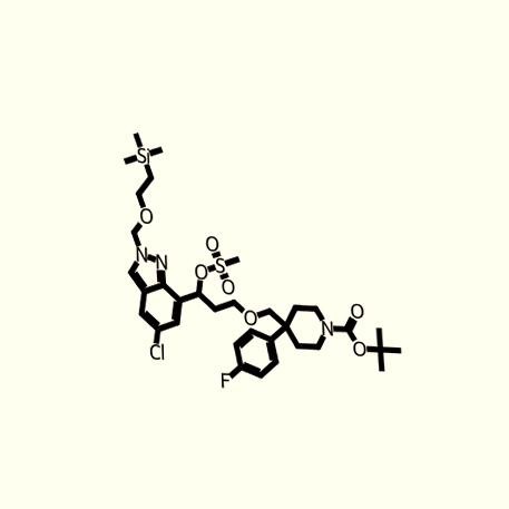 CC(C)(C)OC(=O)N1CCC(COCCC(OS(C)(=O)=O)c2cc(Cl)cc3cn(COCC[Si](C)(C)C)nc23)(c2ccc(F)cc2)CC1